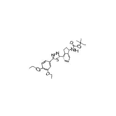 CCOc1ccc(-c2nnc(-c3cccc4c3CC[C@H]4NC(=O)OC(C)(C)C)s2)cc1OCC